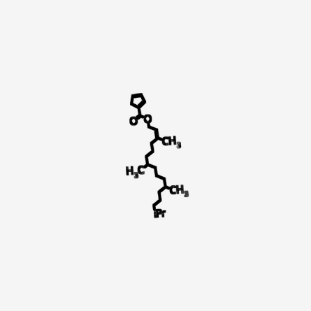 CC(=CCOC(=O)C1=CC=CC1)CCCC(C)CCCC(C)CCCC(C)C